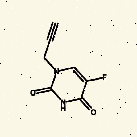 C#CCn1cc(F)c(=O)[nH]c1=O